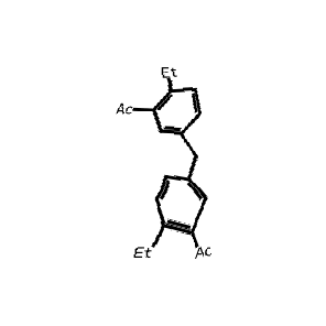 CCc1ccc(Cc2ccc(CC)c(C(C)=O)c2)cc1C(C)=O